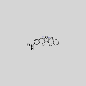 CCNc1ccc(/C=C2/O/C(=N/C3CCCCC3)N(CC)C2=O)cc1